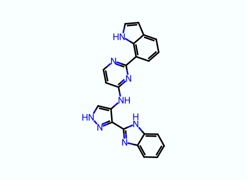 c1cc(-c2nccc(Nc3c[nH]nc3-c3nc4ccccc4[nH]3)n2)c2[nH]ccc2c1